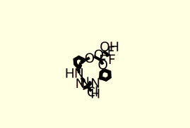 Clc1cnc2nc1Nc1cccc(c1)OCCOc1cccc(c1)N2.O=C(O)C(F)(F)F